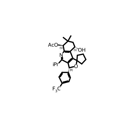 CC(=O)O[C@@H]1c2nc(C(C)C)c3c(c2[C@@H](O)CC1(C)C)C1(CCCC1)O[C@@H]3c1ccc(C(F)(F)F)cc1